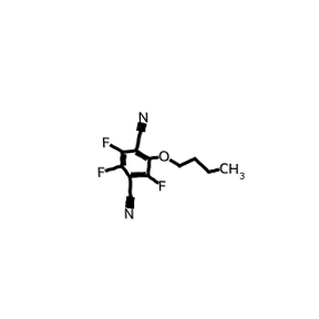 CCCCOc1c(F)c(C#N)c(F)c(F)c1C#N